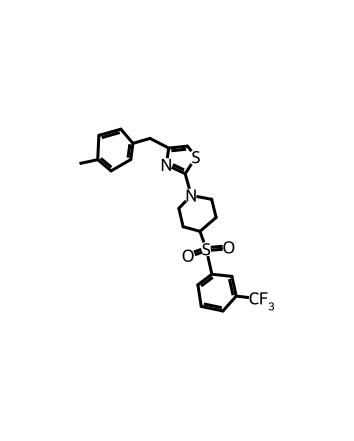 Cc1ccc(Cc2csc(N3CCC(S(=O)(=O)c4cccc(C(F)(F)F)c4)CC3)n2)cc1